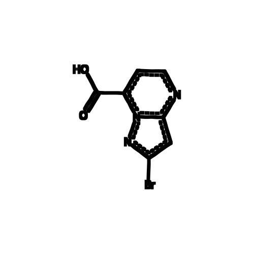 O=C(O)c1ccnc2cc(Br)nn12